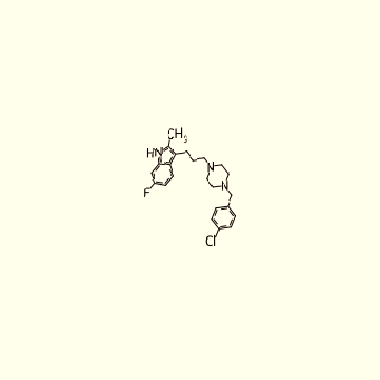 Cc1[nH]c2cc(F)ccc2c1CCCN1CCN(Cc2ccc(Cl)cc2)CC1